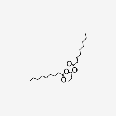 CCCCCCCCC(=O)OC(CC)OC(=O)CCCCCCCC